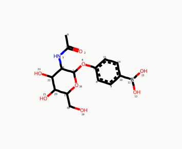 CC(=O)NC1C(Oc2ccc(B(O)O)cc2)OC(CO)C(O)C1O